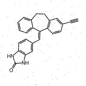 C#Cc1ccc2c(c1)CCc1ccccc1/C2=C\c1ccc2[nH]c(=O)[nH]c2c1